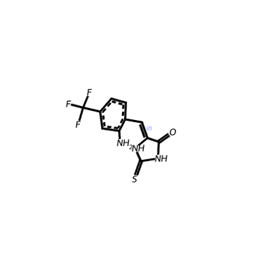 Nc1cc(C(F)(F)F)ccc1/C=C1\NC(=S)NC1=O